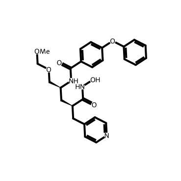 COCOC[C@H](C[C@H](Cc1ccncc1)C(=O)NO)NC(=O)c1ccc(Oc2ccccc2)cc1